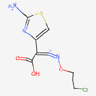 Nc1nc(/C(=N/OCCCl)C(=O)O)cs1